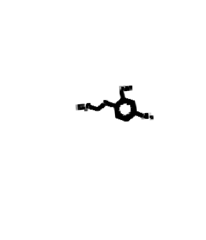 COc1cc(N)ccc1OCC(=O)O